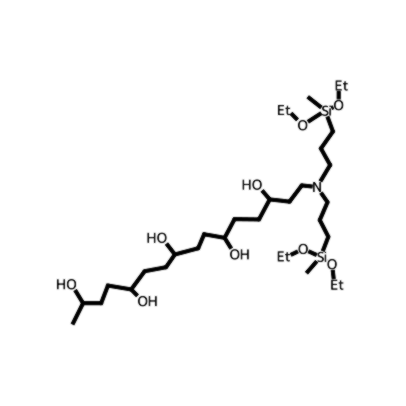 CCO[Si](C)(CCCN(CCC[Si](C)(OCC)OCC)CCC(O)CCC(O)CCC(O)CCC(O)CCC(C)O)OCC